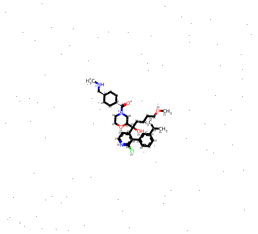 CNC[C@H]1CC[C@H](C(=O)N2CCOC(C(O)(CCCCOC)c3ccnc(Cl)c3-c3cccc(C(C)C)c3)C2)CC1